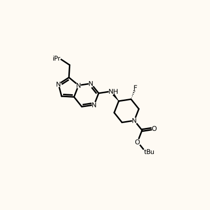 CC(C)Cc1ncc2cnc(N[C@@H]3CCN(C(=O)OC(C)(C)C)C[C@H]3F)nn12